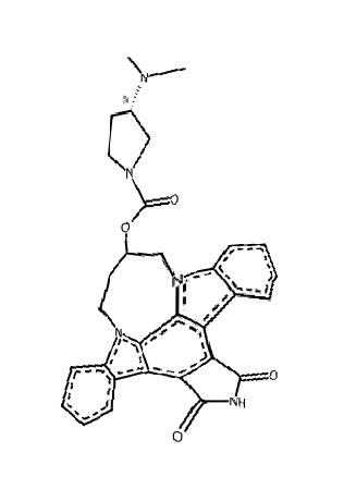 CN(C)[C@H]1CCN(C(=O)OC2CCn3c4ccccc4c4c5c(c6c7ccccc7n(c6c43)C2)C(=O)NC5=O)C1